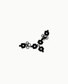 Cc1ccc(N(c2ccc(COS(=O)(=O)c3ccc(C)cc3)cc2)c2ccc(COS(=O)(=O)c3ccc(C)cc3)cc2)cc1